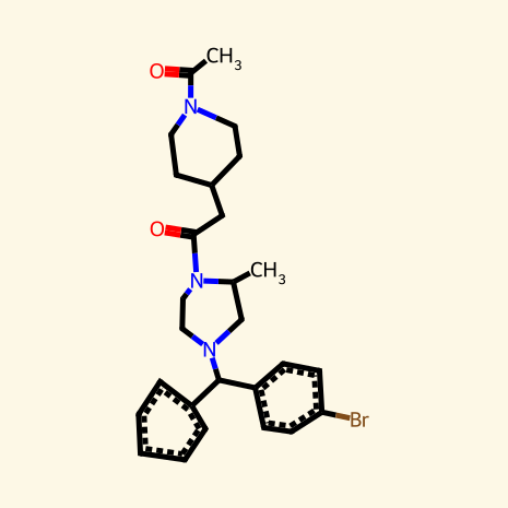 CC(=O)N1CCC(CC(=O)N2CCN(C(c3ccccc3)c3ccc(Br)cc3)CC2C)CC1